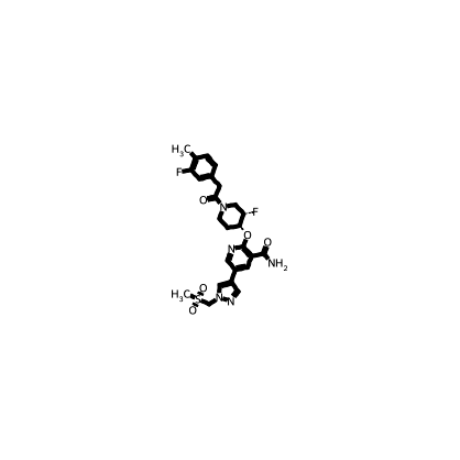 Cc1ccc(CC(=O)N2CC[C@@H](Oc3ncc(-c4cnn(CS(C)(=O)=O)c4)cc3C(N)=O)[C@@H](F)C2)cc1F